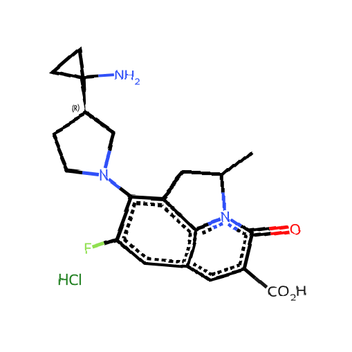 CC1Cc2c(N3CC[C@@H](C4(N)CC4)C3)c(F)cc3cc(C(=O)O)c(=O)n1c23.Cl